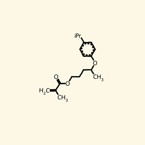 C=C(C)C(=O)OCCCC(C)Oc1ccc(C(C)C)cc1